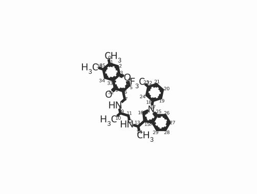 Cc1cc2occ(CNC(C)CNC(C)c3cn(-c4cccc(C(F)(F)F)c4)c4ccccc34)c(=O)c2cc1C